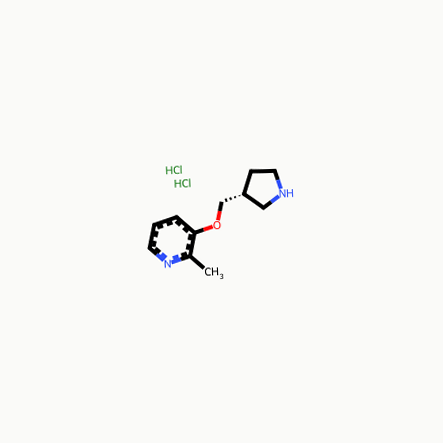 Cc1ncccc1OC[C@@H]1CCNC1.Cl.Cl